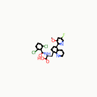 COc1cc(F)cnc1-c1ccc(C[C@H](NC(=O)c2c(Cl)cccc2Cl)C(=O)O)c2ncccc12